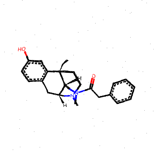 CN1CC[C@@]2(C)c3cc(O)ccc3C[C@@H]1[C@H]2N(C)C(=O)Cc1ccccc1